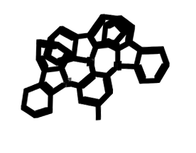 Cc1cc(-n2c3c(c4ccccc42)CCC=C3)c(-n2c3ccccc3c3ccccc32)c(-n2c3ccccc3c3ccccc32)c1